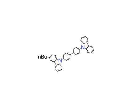 CCCCc1ccc2c(c1)c1ccccc1n2-c1ccc(-c2ccc(-n3c4ccccc4c4ccccc43)cc2)cc1